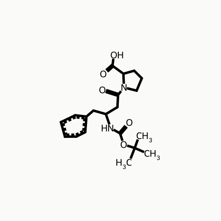 CC(C)(C)OC(=O)NC(CC(=O)N1CCCC1C(=O)O)Cc1ccccc1